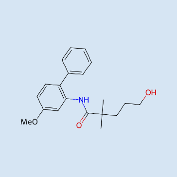 COc1ccc(-c2ccccc2)c(NC(=O)C(C)(C)CCCO)c1